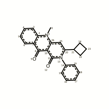 Cn1c2ccccc2c(=O)c2c(=O)n(-c3ccccc3)c(C3CCC3)cc21